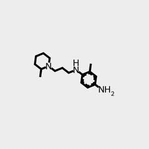 Cc1cc(N)ccc1NCCCN1CCCCC1C